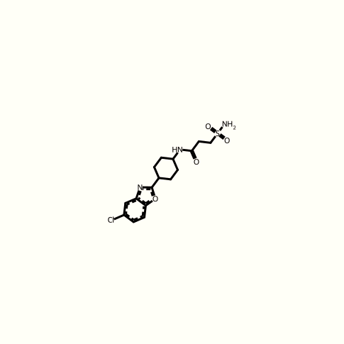 NS(=O)(=O)CCC(=O)NC1CCC(c2nc3cc(Cl)ccc3o2)CC1